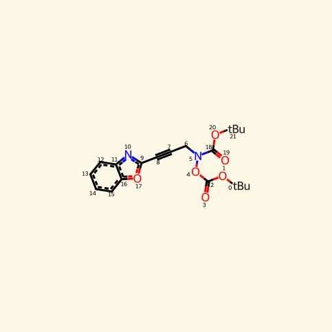 CC(C)(C)OC(=O)ON(CC#Cc1nc2ccccc2o1)C(=O)OC(C)(C)C